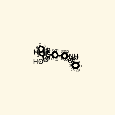 O=C(O)C1C[C@H]2CCC[C@H]2N1S(=O)(=O)c1ccc(-c2ccc(NS(=O)(=O)c3ccccc3)cc2)cc1